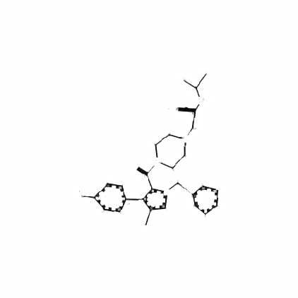 Cc1cn(Cc2ccccc2)c(C(=O)N2CCN(CC(=O)NC(C)C)CC2)c1-c1ccc(Cl)cc1